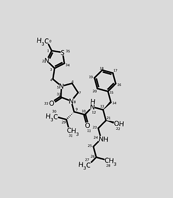 Cc1nc(CN2CCN([C@H](C(=O)N[C@@H](Cc3ccccc3)[C@@H](O)CNCC(C)C)C(C)C)C2=O)cs1